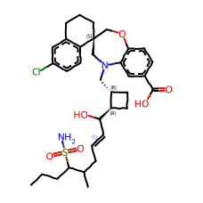 CCCC(C(C)C/C=C/C(O)[C@@H]1CC[C@H]1CN1C[C@@]2(CCCc3cc(Cl)ccc32)COc2ccc(C(=O)O)cc21)S(N)(=O)=O